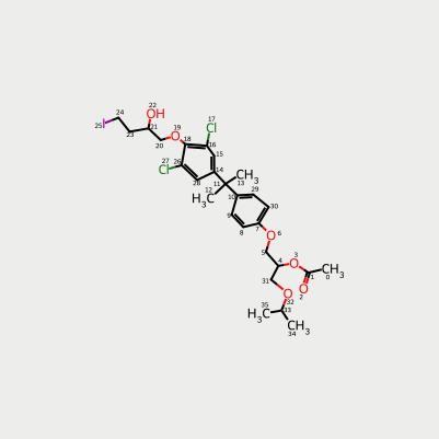 CC(=O)OC(COc1ccc(C(C)(C)c2cc(Cl)c(OCC(O)CCI)c(Cl)c2)cc1)COC(C)C